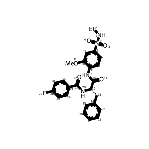 CCNS(=O)(=O)c1ccc(NC(=O)[C@H](Cc2ccccc2)NC(=O)c2ccc(F)cc2)c(OC)c1